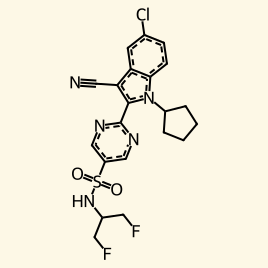 N#Cc1c(-c2ncc(S(=O)(=O)NC(CF)CF)cn2)n(C2CCCC2)c2ccc(Cl)cc12